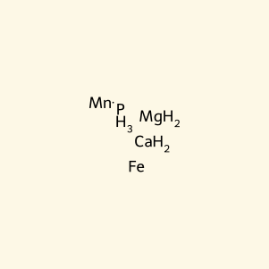 P.[CaH2].[Fe].[MgH2].[Mn]